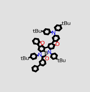 CC(C)(C)c1ccc(N2B3c4oc5ccc(-c6ccccc6)cc5c4N(c4ccc(C(C)(C)C)cc4)c4cc5c(oc6ccccc65)c(c43)-c3cc4c(cc32)oc2ccc(N(c3ccc(C(C)(C)C)cc3)c3ccc(C(C)(C)C)cc3)cc24)cc1